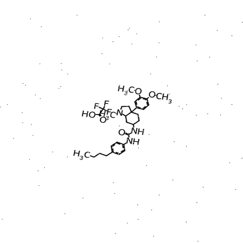 CCCCc1ccc(NC(=O)NC2CCC3(c4ccc(OC)c(OC)c4)CCN(C)C3C2)cc1.O=C(O)C(F)(F)F